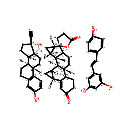 C#C[C@]1(O)CC[C@H]2[C@@H]3CCc4cc(O)ccc4[C@H]3CC[C@@]21C.C[C@]12CCC(=O)C=C1[C@@H]1C[C@@H]1[C@H]1[C@@H]3[C@@H]4C[C@@H]4[C@@]4(CCC(=O)O4)[C@@]3(C)CC[C@@H]12.Oc1ccc(/C=C/c2cc(O)cc(O)c2)cc1